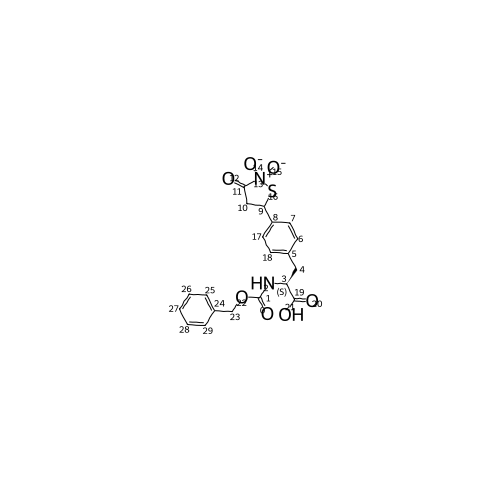 O=C(N[C@@H](Cc1ccc(C2CC(=O)[N+]([O-])([O-])S2)cc1)C(=O)O)OCc1ccccc1